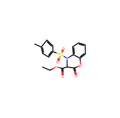 CCOC(=O)C1C(=O)Oc2ccccc2N1S(=O)(=O)c1ccc(C)cc1